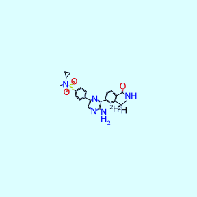 [2H]C1([2H])CNC(=O)c2ccc(-c3nc(-c4ccc(S(=O)(=O)N(C)C5CC5)cc4)cnc3N)cc21